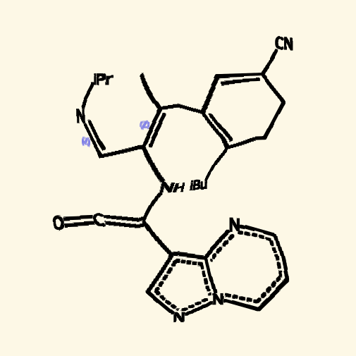 CCC(C)C1=C(/C(C)=C(/C=N\C(C)C)NC(=C=O)c2cnn3cccnc23)C=C(C#N)CC1